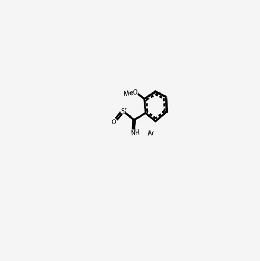 COc1ccccc1C(=N)[S+]=O.[Ar]